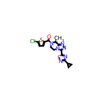 C[C@@H]1c2nnc(-c3nc(C4CC4)ns3)n2CCN1C(=O)c1ccc(Cl)s1